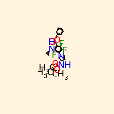 CC(C)(C)OC(=O)NC1CCN(c2c(F)c(F)c(C(=O)OCc3ccccc3)c(NC3CC3)c2F)C1